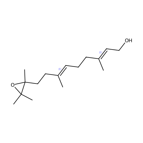 C/C(=C\CO)CC/C=C(\C)CCC1(C)OC1(C)C